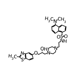 Cc1nc2cc(OC[C@H](O)CN3CCN(CCNS(=O)(=O)c4cccc5c(N(C)C)cccc45)CC3)ccc2s1